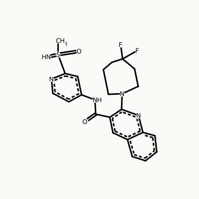 CS(=N)(=O)c1cc(NC(=O)c2cc3ccccc3nc2N2CCCC(F)(F)CC2)ccn1